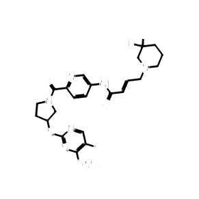 COc1nc(NC2CCN(C(=O)c3ccc(NC(=O)/C=C/CN4CCCC(F)(F)C4)cn3)C2)ncc1Cl